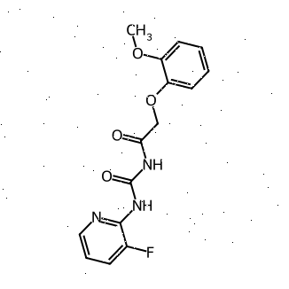 COc1ccccc1OCC(=O)NC(=O)Nc1ncccc1F